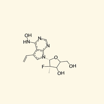 C=Cc1cn([C@@H]2OC(CO)C(O)[C@@]2(C)F)c2ncnc(NO)c12